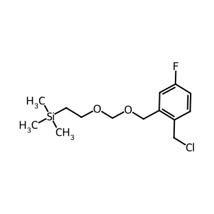 C[Si](C)(C)CCOCOCc1cc(F)ccc1CCl